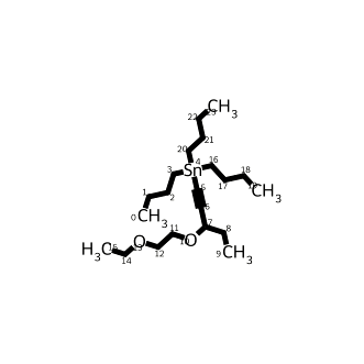 CCC[CH2][Sn]([C]#CC(CC)OCCOCC)([CH2]CCC)[CH2]CCC